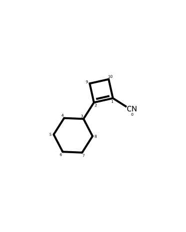 N#CC1=C(C2CCCCC2)CC1